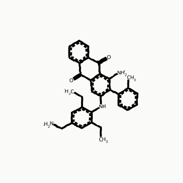 CCc1cc(CN)cc(CC)c1Nc1cc2c(c(N)c1-c1ccccc1C)C(=O)c1ccccc1C2=O